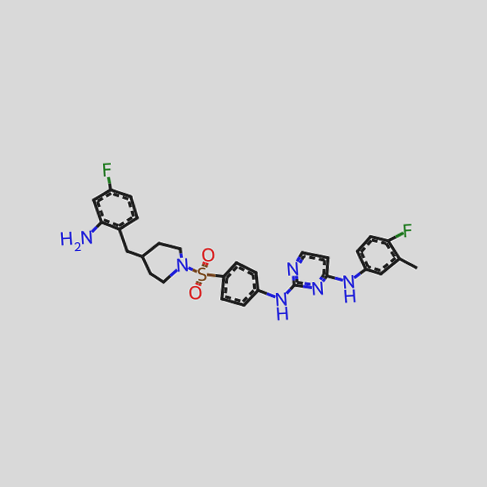 Cc1cc(Nc2ccnc(Nc3ccc(S(=O)(=O)N4CCC(Cc5ccc(F)cc5N)CC4)cc3)n2)ccc1F